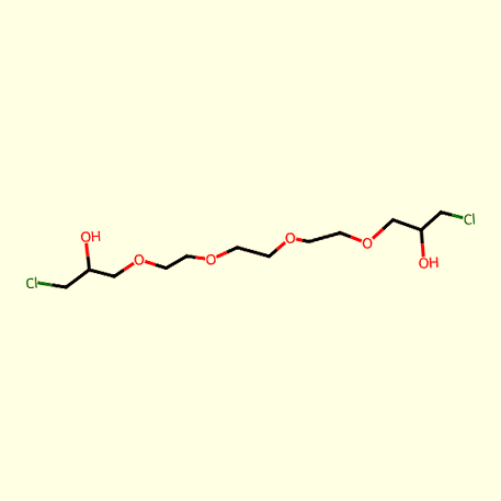 OC(CCl)COCCOCCOCCOCC(O)CCl